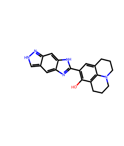 Oc1c(-c2nc3cc4c[nH]nc4cc3[nH]2)cc2c3c1CCCN3CCC2